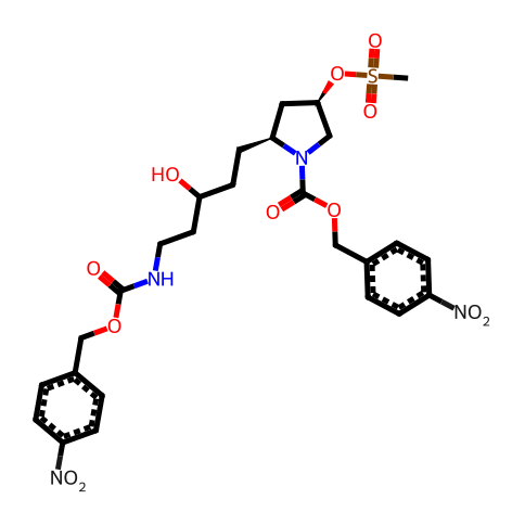 CS(=O)(=O)O[C@@H]1C[C@H](CCC(O)CCNC(=O)OCc2ccc([N+](=O)[O-])cc2)N(C(=O)OCc2ccc([N+](=O)[O-])cc2)C1